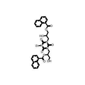 CCn1c(=O)n(CC(O)COC(=O)c2cccc3ccccc23)c(=O)n(CC(CO)OC(=O)c2cccc3ccccc23)c1=O